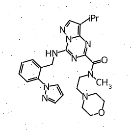 CC(C)c1cnn2c(NCc3ccccc3-n3cccn3)nc(C(=O)N(C)CCN3CCOCC3)nc12